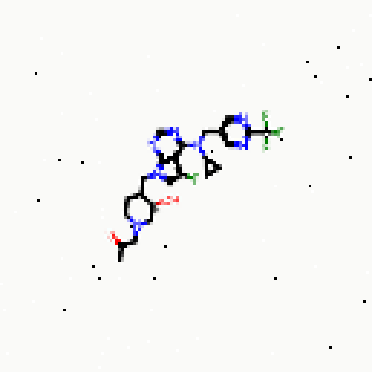 CC(=O)CN1CCC(Cn2cc(F)c3c(N(Cc4cnc(C(F)(F)F)nc4)C4CC4)ncnc32)[C@@H](O)C1